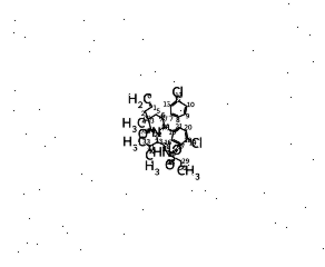 C=CC[C@@]1(C)C[C@H](c2cccc(Cl)c2)[C@@H](c2ccc(Cl)cc2)N(C(CNS(=O)(=O)CC)C(C)C)C1=O